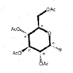 CC(=O)OC[C@H]1O[C@H](F)[C@H](OC(C)=O)[C@@H](OC(C)=O)[C@@H]1OC(C)=O